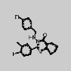 Cc1cc(-c2nc3ccccc3c(=O)n2NCc2ccc(Cl)cc2)ccc1F